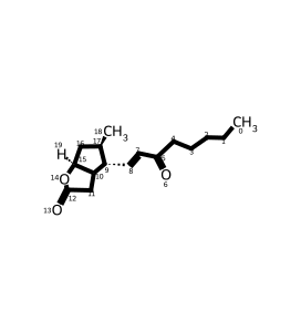 CCCCCC(=O)/C=C/[C@@H]1C2CC(=O)O[C@H]2C[C@H]1C